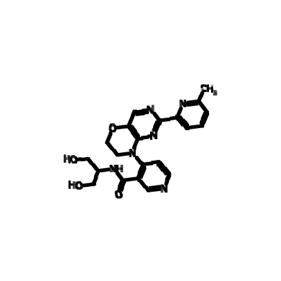 Cc1cccc(-c2ncc3c(n2)N(c2ccncc2C(=O)NC(CO)CO)CCO3)n1